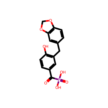 O=C(c1ccc(O)c(Cc2ccc3c(c2)OCO3)c1)P(=O)(O)O